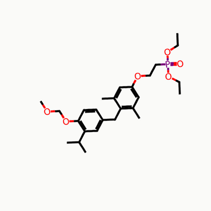 CCOP(=O)(CCOc1cc(C)c(Cc2ccc(OCOC)c(C(C)C)c2)c(C)c1)OCC